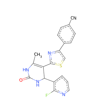 CC1=C(c2nc(-c3ccc(C#N)cc3)cs2)C(c2cccnc2F)NC(=O)N1